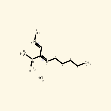 CCCCC/N=C(\C=N\O)N(C)C.Cl